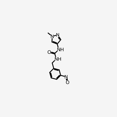 Cn1cc(NC(=O)NCc2cccc(N=O)c2)cn1